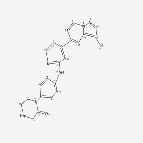 CC(C)c1cnn2ccc(-c3ccnc(Nc4ccc(N5CCNCC5=O)cn4)n3)cc12